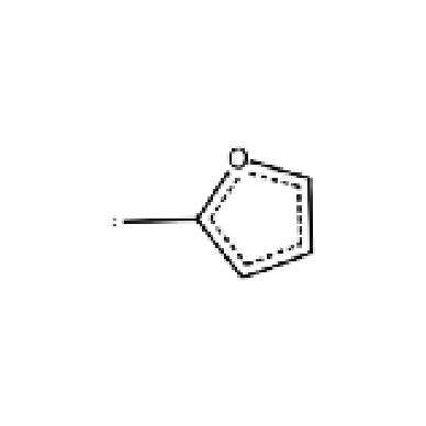 [CH]c1ccco1